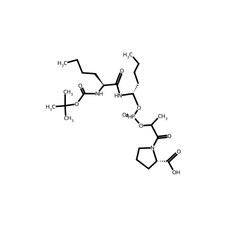 CCCC[C@H](NC(=O)OC(C)(C)C)C(=O)N[C@H](CCCC)O[PH](=O)OC(C)C(=O)N1CCC[C@H]1C(=O)O